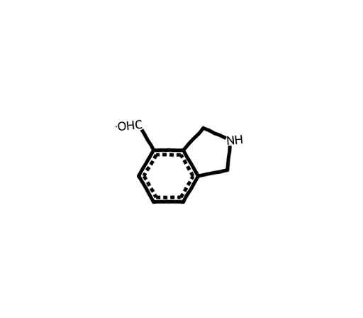 O=[C]c1cccc2c1CNC2